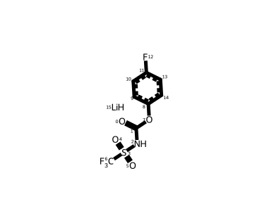 O=C(NS(=O)(=O)C(F)(F)F)Oc1ccc(F)cc1.[LiH]